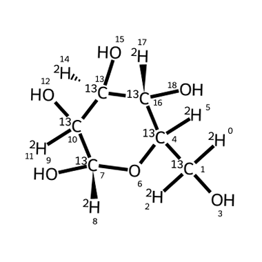 [2H][13C]([2H])(O)[13C]1([2H])O[13C@]([2H])(O)[13C]([2H])(O)[13C@@]([2H])(O)[13C@]1([2H])O